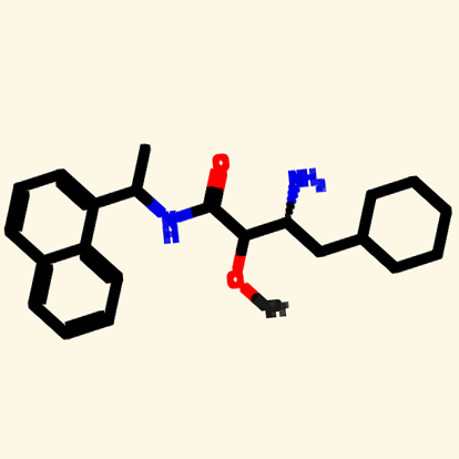 CC(C)OC(C(=O)NC(C)c1cccc2ccccc12)[C@H](N)CC1CCCCC1